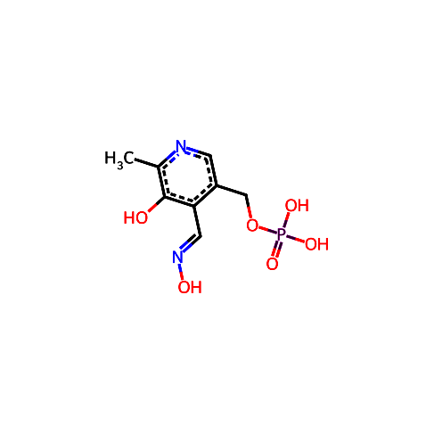 Cc1ncc(COP(=O)(O)O)c(C=NO)c1O